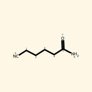 N#C[CH]CCCC(N)=O